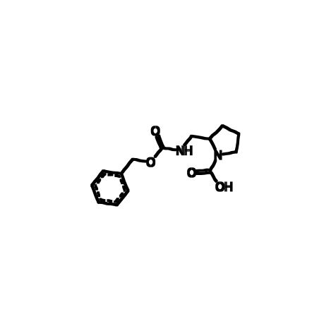 O=C(NCC1CCCN1C(=O)O)OCc1ccccc1